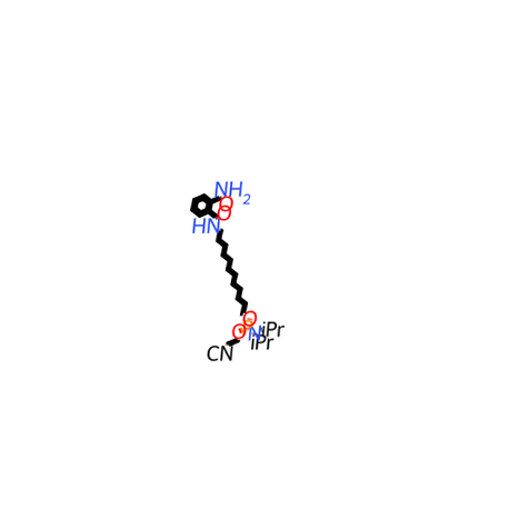 CC(C)N(C(C)C)P(OCCC#N)OCCCCCCCCCCCCNC(=O)c1ccccc1C(N)=O